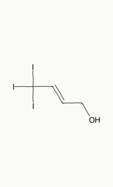 OCC=CC(I)(I)I